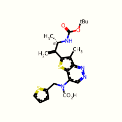 C=C(c1sc2c(N(Cc3cccs3)C(=O)O)cnnc2c1C)[C@H](C)NC(=O)OC(C)(C)C